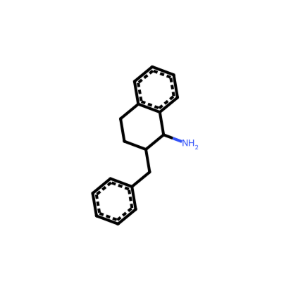 NC1c2ccccc2CCC1Cc1ccccc1